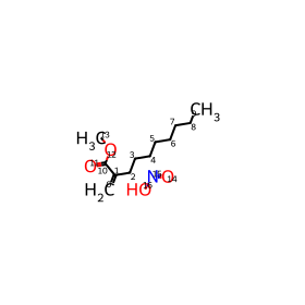 C=C(CCCCCCCC)C(=O)OC.O=NO